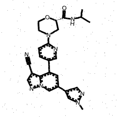 CC(C)NC(=O)[C@@H]1CN(c2ccc(-c3cc(-c4cnn(C)c4)cn4ncc(C#N)c34)cn2)CCO1